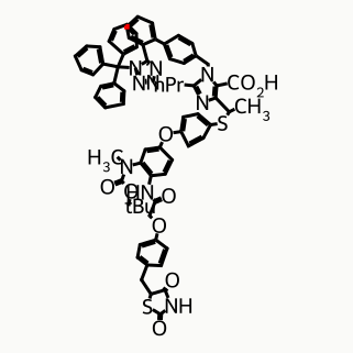 CCCc1nc(C(C)Sc2ccc(Oc3ccc(NC(=O)COc4ccc(CC5SC(=O)NC5=O)cc4)c(N(C)C(=O)OC(C)(C)C)c3)cc2)c(C(=O)O)n1Cc1ccc(-c2ccccc2-c2nnnn2C(c2ccccc2)(c2ccccc2)c2ccccc2)cc1